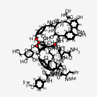 CN[C@H](CC(C)C)C(=O)N[C@H]1C(=O)N[C@@H](CC(N)=O)C(=O)N[C@H]2C(=O)N[C@H]3C(=O)N[C@H](C(=O)N[C@@H](C(=O)NO)c4cc(O)cc(O)c4-c4cc3ccc4O)[C@H](O)c3ccc(c(Cl)c3)Oc3cc2cc(c3O[C@@H]2O[C@H](CO)[C@@H](O)[C@H](O)[C@H]2O[C@H]2C[C@](C)(NCCN3CCN(NC(=O)Nc4ccc(OC(F)(F)F)cc4)CC3)[C@H](O)[C@H](C)O2)Oc2ccc(cc2Cl)[C@H]1O